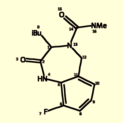 CCC(C)C1C(=O)Nc2c(F)cccc2CN1C(=O)NC